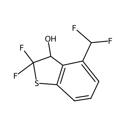 OC1c2c(cccc2C(F)F)SC1(F)F